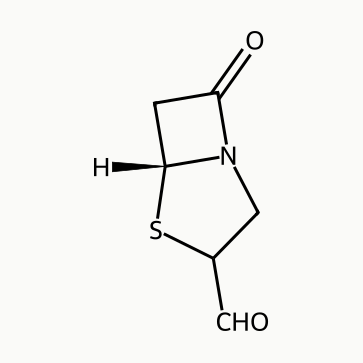 O=CC1CN2C(=O)C[C@H]2S1